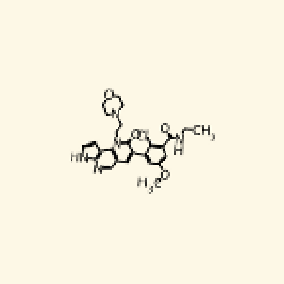 CCNC(=O)c1cc(OC)cc(-c2cc3cnc4[nH]ccc4c3n(CCN3CCOCC3)c2=O)c1Cl